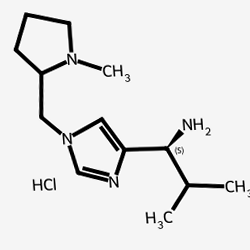 CC(C)[C@H](N)c1cn(CC2CCCN2C)cn1.Cl